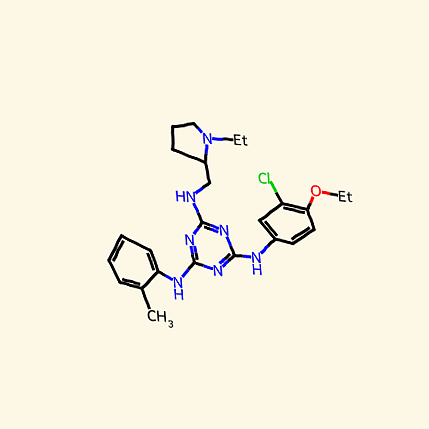 CCOc1ccc(Nc2nc(NCC3CCCN3CC)nc(Nc3ccccc3C)n2)cc1Cl